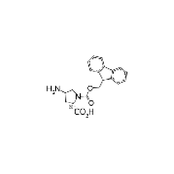 NC1C[C@@H](C(=O)O)N(C(=O)OCC2c3ccccc3-c3ccccc32)C1